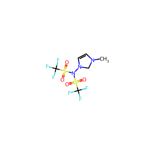 CN1C=CN(N(S(=O)(=O)C(F)(F)F)S(=O)(=O)C(F)(F)F)C1